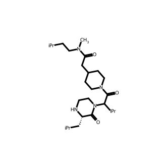 CC(C)CCN(C)C(=O)CC1CCN(C(=O)C(C(C)C)N2CCN[C@@H](CC(C)C)C2=O)CC1